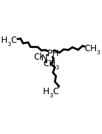 CCCCCCCC[PH](CCCCCCCC)(CCCCCCCC)N(C)Cl